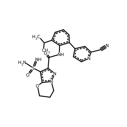 CC(C)c1cccc(-c2ccnc(C#N)c2)c1NC(=O)c1nn2c(c1S(=N)(N)=O)OCCC2